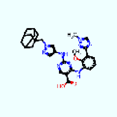 COc1c(Nc2nc(Nc3cnn(CC45CC6CC(CC(C6)C4)C5)c3)ncc2C(=O)O)cccc1-c1ncn(C)n1